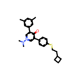 Cc1cc(C)cc(-c2cn(N(C)C)cc(-c3ccc(SCCC4CCC4)cc3)c2=O)c1